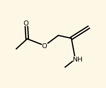 C=C(COC(C)=O)NC